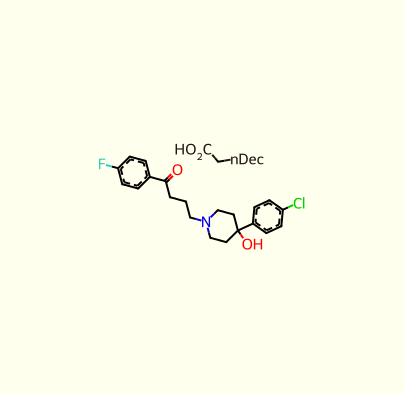 CCCCCCCCCCCC(=O)O.O=C(CCCN1CCC(O)(c2ccc(Cl)cc2)CC1)c1ccc(F)cc1